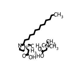 CCCCCCCCCCCCC1=NCC[N+]1(CC)CC(=O)O.C[N+](C)(C)CC(=O)O